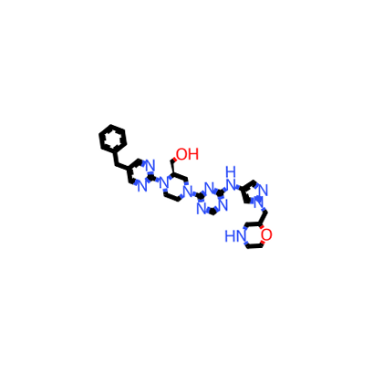 OC[C@H]1CN(c2ncnc(Nc3cnn(CC4CNCCO4)c3)n2)CCN1c1ncc(Cc2ccccc2)cn1